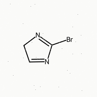 BrC1=NCC=N1